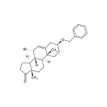 C[C@]12CC[C@H](OCc3ccccc3)CC1=C[C@@H](Br)[C@@H]1[C@@H]2CC[C@]2(C)C(=O)CC[C@@H]12